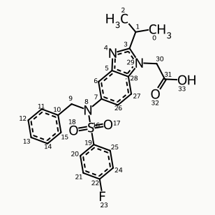 CC(C)c1nc2cc(N(Cc3ccccc3)S(=O)(=O)c3ccc(F)cc3)ccc2n1CC(=O)O